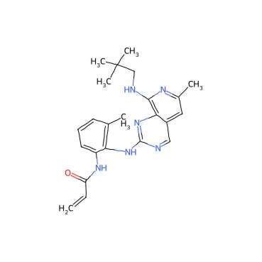 C=CC(=O)Nc1cccc(C)c1Nc1ncc2cc(C)nc(NCC(C)(C)C)c2n1